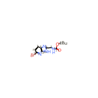 CC(C)(C)OC(=O)NCc1nc2ccc(Br)nc2[nH]1